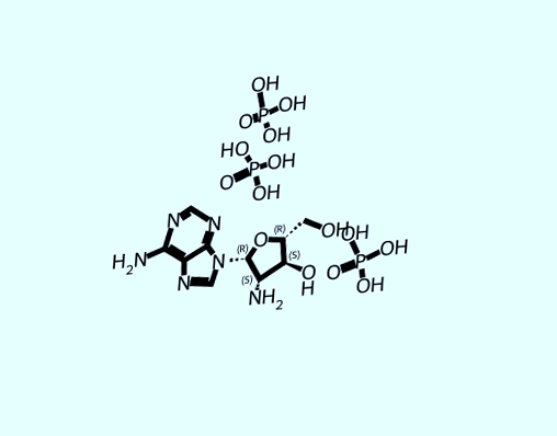 Nc1ncnc2c1ncn2[C@@H]1O[C@H](CO)[C@@H](O)[C@@H]1N.O=P(O)(O)O.O=P(O)(O)O.O=P(O)(O)O